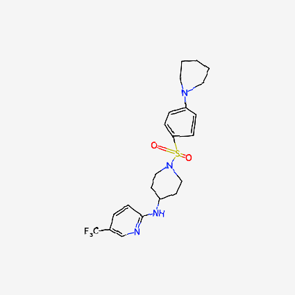 O=S(=O)(c1ccc(N2CCCCC2)cc1)N1CCC(Nc2ccc(C(F)(F)F)cn2)CC1